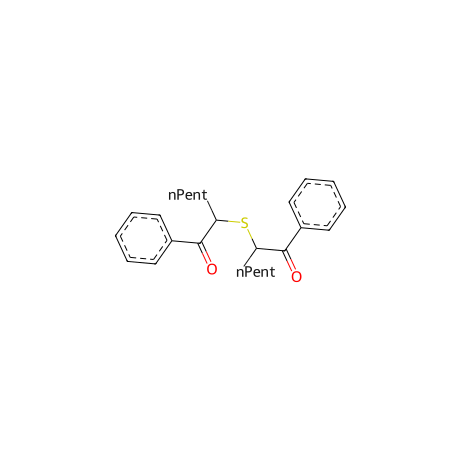 CCCCCC(SC(CCCCC)C(=O)c1ccccc1)C(=O)c1ccccc1